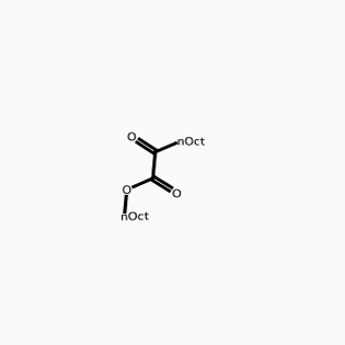 CCCCCCCCOC(=O)C(=O)CCCCCCCC